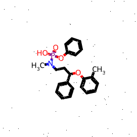 Cc1ccccc1OC(CCN(C)P(=O)(O)Oc1ccccc1)c1ccccc1